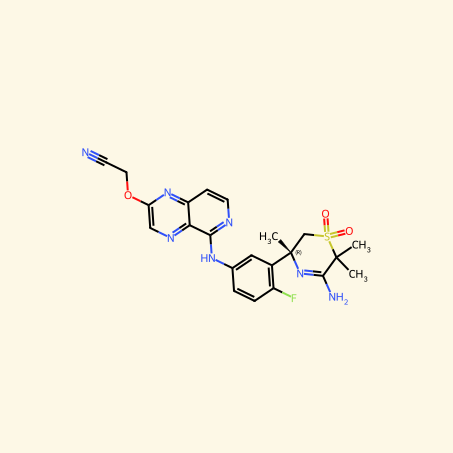 CC1(C)C(N)=N[C@](C)(c2cc(Nc3nccc4nc(OCC#N)cnc34)ccc2F)CS1(=O)=O